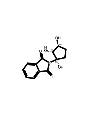 O=C1c2ccccc2C(=O)N1[C@]1(O)CC[C@H](O)[C@H]1O